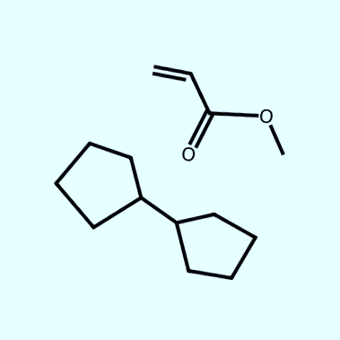 C1CCC(C2CCCC2)C1.C=CC(=O)OC